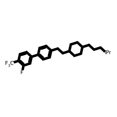 CC(C)CCCC1CCC(CCc2ccc(-c3ccc(C(F)(F)F)c(F)c3)cc2)CC1